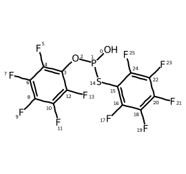 OP(Oc1c(F)c(F)c(F)c(F)c1F)Sc1c(F)c(F)c(F)c(F)c1F